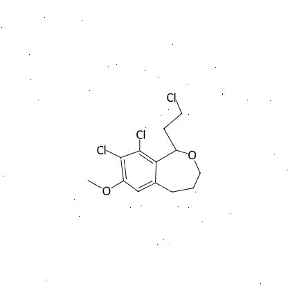 COc1cc2c(c(Cl)c1Cl)C(CCCl)OCCC2